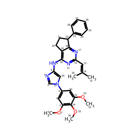 COc1cc(-n2cnc(Nc3nc(C=C(C)C)nc4c3CCC4c3ccccc3)c2)cc(OC)c1OC